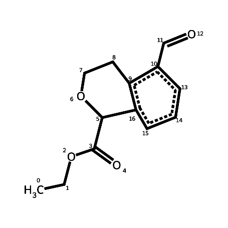 CCOC(=O)C1OCCc2c(C=O)cccc21